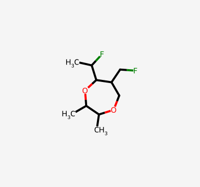 CC(F)C1OC(C)C(C)OCC1CF